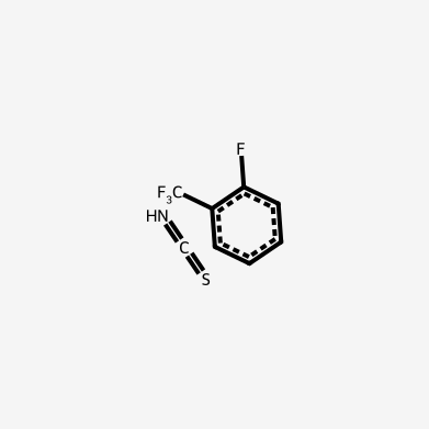 Fc1ccccc1C(F)(F)F.N=C=S